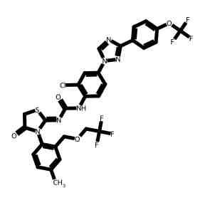 Cc1ccc(N2C(=O)CSC2=NC(=O)Nc2ccc(-n3cnc(-c4ccc(OC(F)(F)F)cc4)n3)cc2Cl)c(COCC(F)(F)F)c1